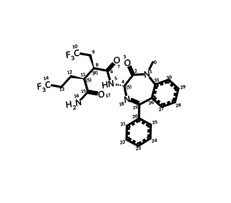 CN1C(=O)[C@@H](NC(=O)[C@H](CC(F)(F)F)[C@H](CCC(F)(F)F)C(N)=O)N=C(c2ccccc2)c2ccccc21